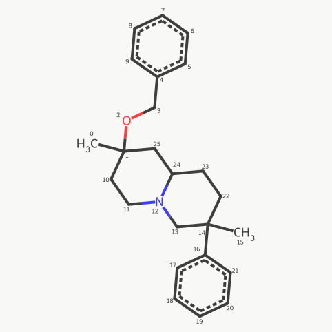 CC1(OCc2ccccc2)CCN2CC(C)(c3ccccc3)CCC2C1